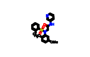 COc1ccc(C)c(N(CC(=O)Nc2cccnc2)S(=O)(=O)c2ccccc2C(F)(F)F)c1